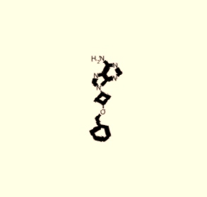 Nc1ncnc2c1ncn2[C@H]1C[C@@H](OCc2ccccc2)C1